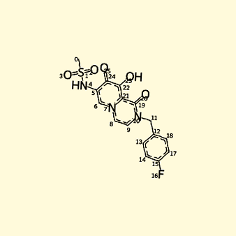 CS(=O)(=O)Nc1cn2ccn(Cc3ccc(F)cc3)c(=O)c2c(O)c1=O